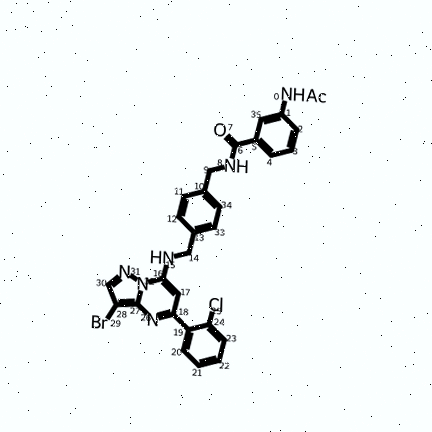 CC(=O)Nc1cccc(C(=O)NCc2ccc(CNc3cc(-c4ccccc4Cl)nc4c(Br)cnn34)cc2)c1